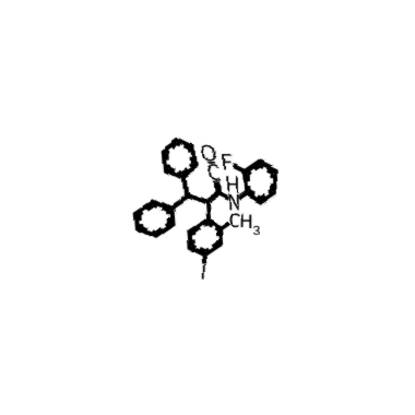 Cc1cc(I)ccc1C(C(=C=O)Nc1ccccc1F)C(c1ccccc1)c1ccccc1